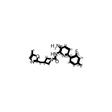 Cc1cnc(CC2CN(C(=O)Nc3nc(-c4ccc(F)cc4F)ccc3N)C2)o1